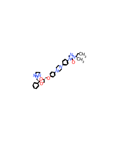 CC[C@H](C)n1ncn(-c2ccc(N3CCN(c4ccc(OC[C@@H]5CO[C@](Cn6nccn6)(c6ccccc6)O5)cc4)CC3)cc2)c1=O